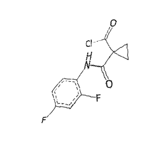 O=C(Cl)C1(C(=O)Nc2ccc(F)cc2F)CC1